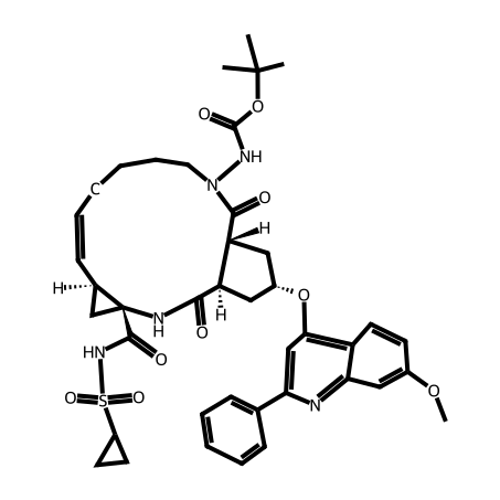 COc1ccc2c(O[C@@H]3C[C@H]4C(=O)N[C@]5(C(=O)NS(=O)(=O)C6CC6)C[C@H]5/C=C\CCCCN(NC(=O)OC(C)(C)C)C(=O)[C@@H]4C3)cc(-c3ccccc3)nc2c1